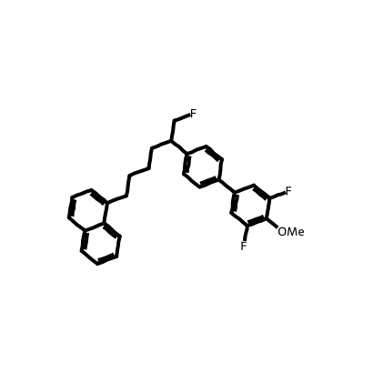 COc1c(F)cc(-c2ccc(C(CF)CCCCc3cccc4ccccc34)cc2)cc1F